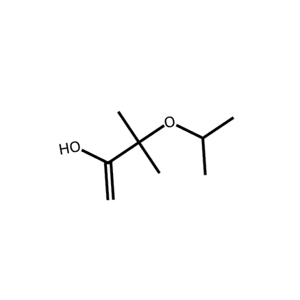 C=C(O)C(C)(C)OC(C)C